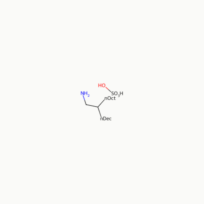 CCCCCCCCCCC(CN)CCCCCCCC.O=S(=O)(O)O